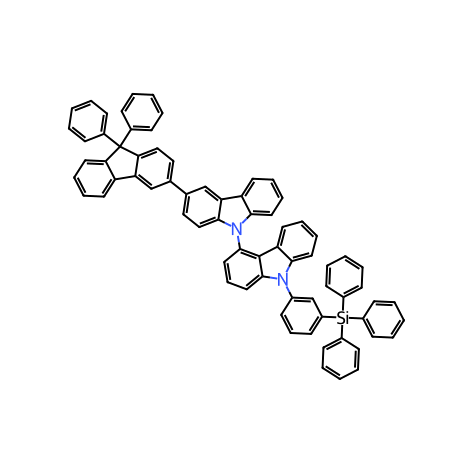 c1ccc(C2(c3ccccc3)c3ccccc3-c3cc(-c4ccc5c(c4)c4ccccc4n5-c4cccc5c4c4ccccc4n5-c4cccc([Si](c5ccccc5)(c5ccccc5)c5ccccc5)c4)ccc32)cc1